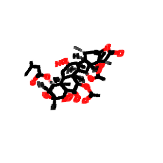 CC(=O)O[C@@H]1[C@H]2[C@@H]3[C@@H](OC(C)=O)C(=O)[C@@]4(O)C[C@@H]5O[C@@H]5[C@H](OC(=O)CC(C)C)[C@]4(C)[C@H]3C[C@H](O)[C@]2(C)[C@@H]2[C@@H]1[C@]1(C)C(=C[C@H]2C)OC(=O)[C@@]1(C)O